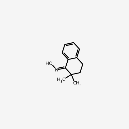 CC1(C)CCc2ccccc2/C1=N\O